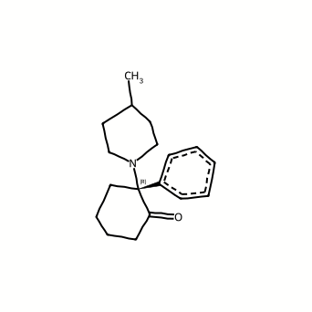 CC1CCN([C@@]2(c3ccccc3)CCCCC2=O)CC1